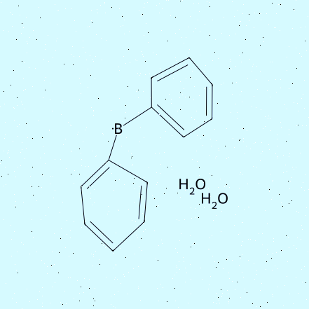 O.O.[B](c1ccccc1)c1ccccc1